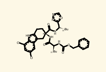 CC[C@H](C)C(NC(=O)OCc1ccccc1)C(=O)N[C@]1(C(=O)NC(c2nnco2)[C@@H](C)CC)CCc2[nH]c3c(Cl)cc(Cl)cc3c2C1